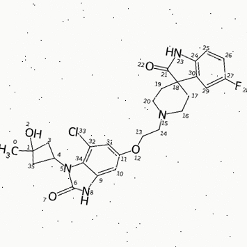 CC1(O)CC(n2c(=O)[nH]c3cc(OCCN4CCC5(CC4)C(=O)Nc4ccc(F)cc45)cc(Cl)c32)C1